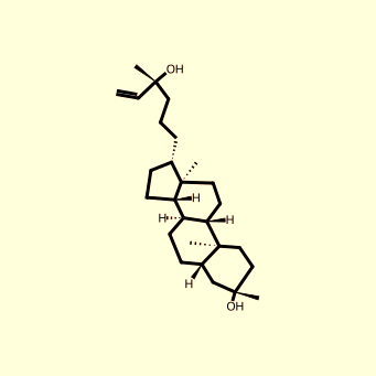 C=C[C@](C)(O)CCC[C@H]1CC[C@H]2[C@@H]3CC[C@H]4C[C@@](C)(O)CC[C@]4(C)[C@H]3CC[C@]12C